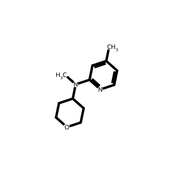 Cc1ccnc(N(C)C2CCOCC2)c1